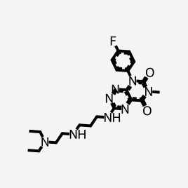 CCN(CC)CCNCCCNc1nnc2c(n1)c(=O)n(C)c(=O)n2-c1ccc(F)cc1